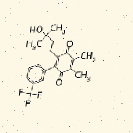 CC1=C(C)C(=O)C(c2cccc(C(F)(F)F)c2)=C(CCC(C)(C)O)C1=O